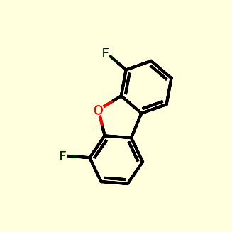 Fc1cccc2c1oc1c(F)cccc12